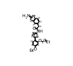 CCOCOc1cc(OCC)ccc1-c1nnc(NC(=O)Cc2ccc3nc(N)sc3c2)s1